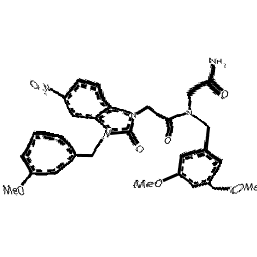 COc1cccc(Cn2c(=O)n(CC(=O)N(CC(N)=O)Cc3cc(OC)cc(OC)c3)c3ccc([N+](=O)[O-])cc32)c1